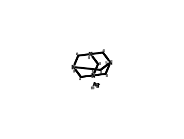 C1N2CN3CN1CN(C2)C3.[Ag]